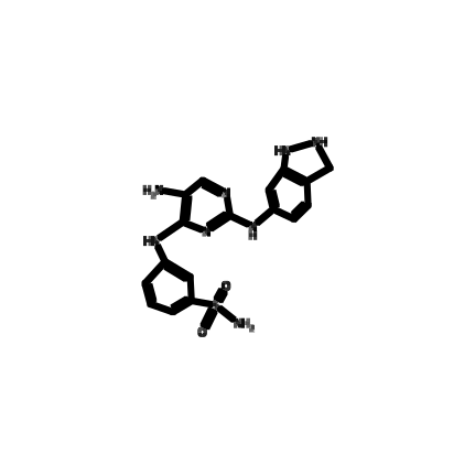 Nc1cnc(Nc2ccc3c(c2)NNC3)nc1Nc1cccc(S(N)(=O)=O)c1